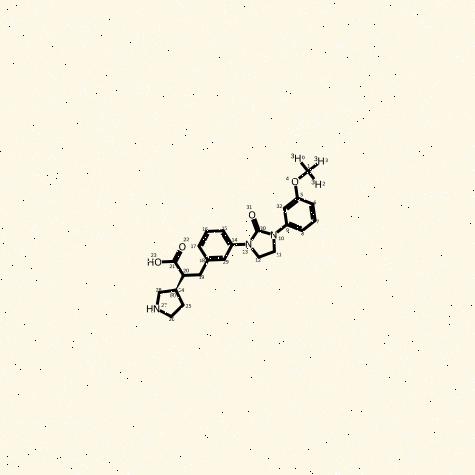 [3H]C([3H])([3H])Oc1cccc(N2CCN(c3cccc(CC(C(=O)O)[C@H]4CCNC4)c3)C2=O)c1